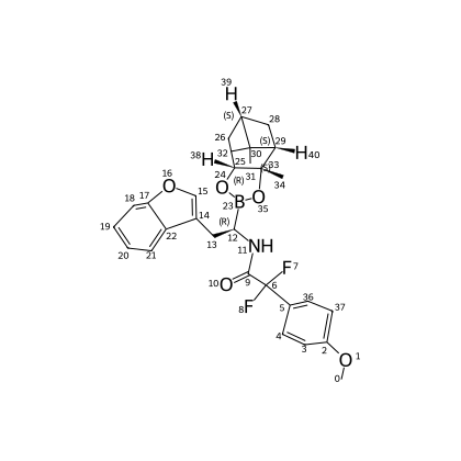 COc1ccc(C(F)(F)C(=O)N[C@@H](Cc2coc3ccccc23)B2O[C@@H]3C[C@@H]4C[C@@H](C4(C)C)[C@]3(C)O2)cc1